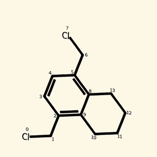 ClCc1ccc(CCl)c2c1CCCC2